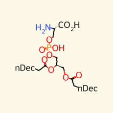 CCCCCCCCCCCC(=O)OC[C@H](COP(=O)(O)OC[C@H](N)C(=O)O)OC(=O)CCCCCCCCCCC